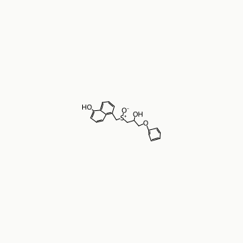 [O-][S+](Cc1cccc2c(O)cccc12)CC(O)COc1ccccc1